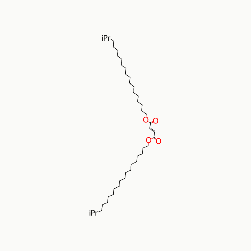 CC(C)CCCCCCCCCCCCCCCCCOC(=O)C=CC(=O)OCCCCCCCCCCCCCCCCCC(C)C